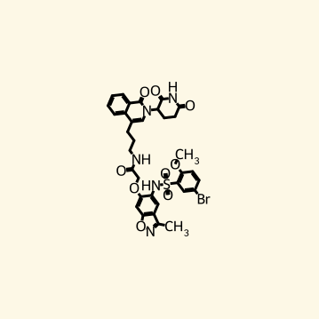 COc1ccc(Br)cc1S(=O)(=O)Nc1cc2c(C)noc2cc1OCC(=O)NCCCc1cn(C2CCC(=O)NC2=O)c(=O)c2ccccc12